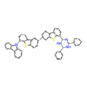 c1ccc(C2=NC(c3cccc4c3sc3cc(-c5ccc6sc7c(-n8c9ccccc9c9ccccc98)cccc7c6c5)ccc34)NC(c3ccccc3)N2)cc1